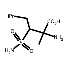 CC(C)CC(C(C)(N)C(=O)O)S(N)(=O)=O